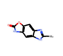 CCCCc1nc2cc3oc(=O)[nH]c3cc2[nH]1